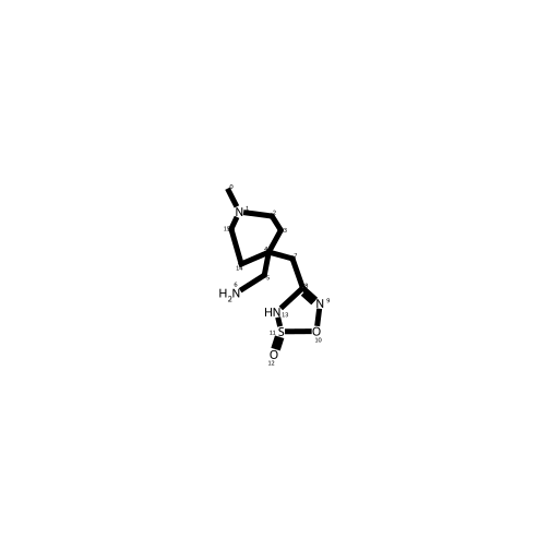 CN1CCC(CN)(CC2=NOS(=O)N2)CC1